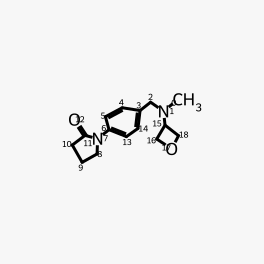 CN(Cc1ccc(N2CCCC2=O)cc1)C1COC1